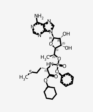 CSCC[C@H](NP(=O)(Oc1ccccc1)O[C@@H](C)[C@H]1O[C@@H](n2cnc3c(N)ncnc32)[C@H](O)[C@@H]1O)C(=O)OC1CCCCC1